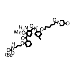 COc1c(C(=O)c2ccccc2OCCCNC(=O)OC(C)(C)C)ccc(C(=O)N(C)c2ccc(C)cc2OCCCCCC(=O)N2CCC(=O)CC2)c1N